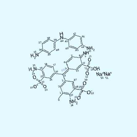 Cc1cc(/C(=C2/C=CC(=N)C(S(=O)(=O)O)=C2)c2ccc(N)c(S(=O)(=O)[O-])c2)cc(S(=O)(=O)[O-])c1N.Nc1ccc(Nc2ccc(N)cc2)cc1.[Na+].[Na+]